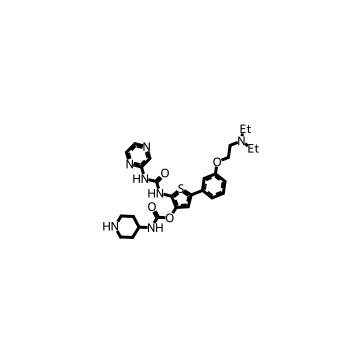 CCN(CC)CCOc1cccc(-c2cc(OC(=O)NC3CCNCC3)c(NC(=O)Nc3cnccn3)s2)c1